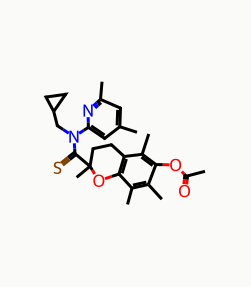 CC(=O)Oc1c(C)c(C)c2c(c1C)CCC(C)(C(=S)N(CC1CC1)c1cc(C)cc(C)n1)O2